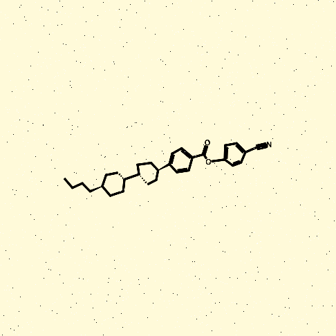 CCCC[C@H]1CC[C@H]([C@H]2CC[C@H](c3ccc(C(=O)Oc4ccc(C#N)cc4)cc3)CC2)CC1